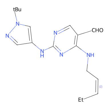 CC/C=C\CNc1nc(Nc2cnn(C(C)(C)C)c2)ncc1C=O